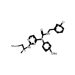 COC[C@H](C)Nc1nccc(N(C(=O)NCc2cccc(Cl)c2)c2ccc(OC)cc2)n1